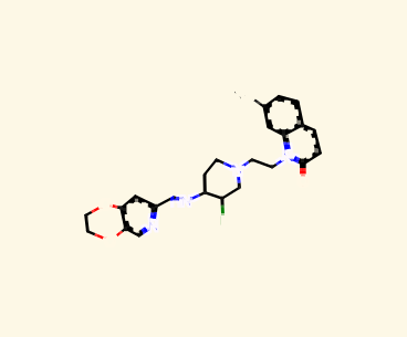 N#Cc1ccc2ccc(=O)n(CCN3CCC(NCc4cc5c(cn4)OCCO5)C(F)C3)c2c1